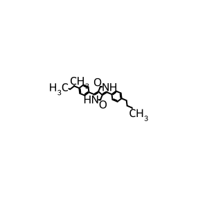 CCCCc1ccc(C2=C3C(=O)NC(c4ccc(C(C)CC)cc4)=C3C(=O)N2)cc1